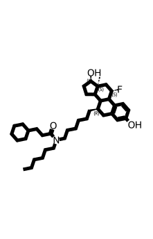 CCCCCCN(CCCCCC[C@@H]1Cc2cc(O)ccc2C2C1C1CC[C@H](O)[C@@]1(C)C[C@@H]2F)C(=O)CCC1CCCCC1